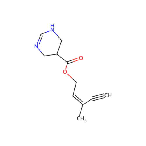 C#C/C(C)=C\COC(=O)C1CN=CNC1